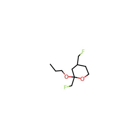 CCCOC1(CF)CC(CF)CCO1